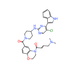 CN(C)C/C=C/C(=O)N1CCOc2ccc(C(=O)N3CCC(Nc4ncc(Cl)c(-c5c[nH]c6ccccc56)n4)CC3)cc21